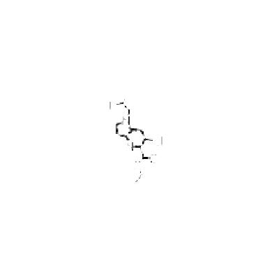 CCOC(=O)c1nc2ccn(CC(F)F)c2cc1Cl